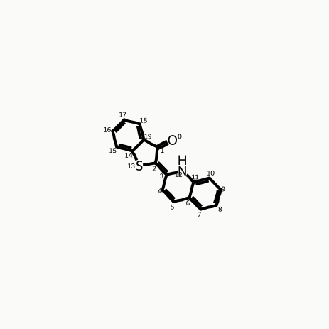 O=C1/C(=C2/C=Cc3ccccc3N2)Sc2ccccc21